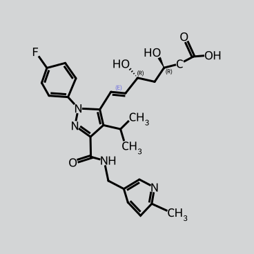 Cc1ccc(CNC(=O)c2nn(-c3ccc(F)cc3)c(/C=C/[C@H](O)C[C@@H](O)CC(=O)O)c2C(C)C)cn1